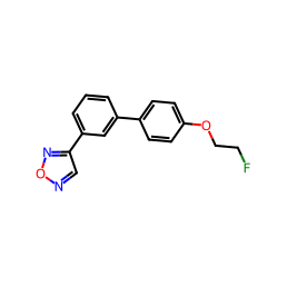 FCCOc1ccc(-c2cccc(-c3cnon3)c2)cc1